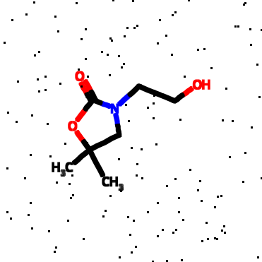 CC1(C)CN(CCO)C(=O)O1